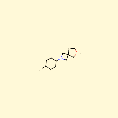 CC1CCC(N2CC3(CCOC3)C2)CC1